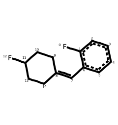 Fc1ccccc1C=C1CCC(F)CC1